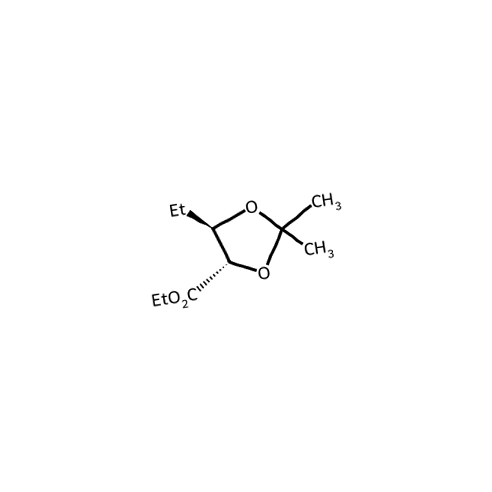 CCOC(=O)[C@H]1OC(C)(C)O[C@@H]1CC